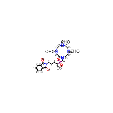 CCOP(=O)(CCCCN1C(=O)c2ccccc2C1=O)CN1CCN(C=O)CCN(C=O)CCN(C=O)CC1